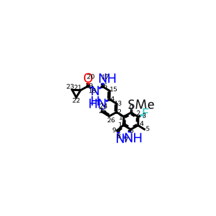 CSc1c(F)c(C)c2[nH]ncc2c1C1=C/C(=C/C(=N)NC(=O)C2CC2)NC=C1